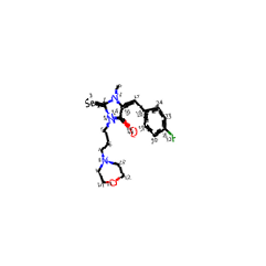 CN1C(=[Se])N(CCCN2CCOCC2)C(=O)C1=Cc1ccc(F)cc1